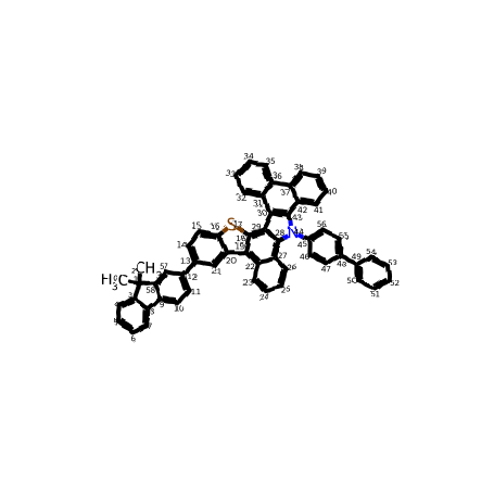 CC1(C)c2ccccc2-c2ccc(-c3ccc4sc5c(c4c3)c3ccccc3c3c5c4c5ccccc5c5ccccc5c4n3-c3ccc(-c4ccccc4)cc3)cc21